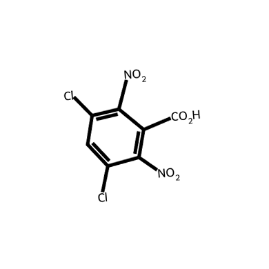 O=C(O)c1c([N+](=O)[O-])c(Cl)cc(Cl)c1[N+](=O)[O-]